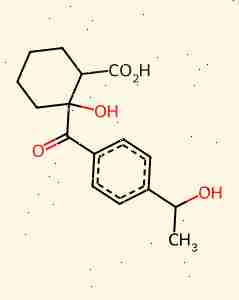 CC(O)c1ccc(C(=O)C2(O)CCCCC2C(=O)O)cc1